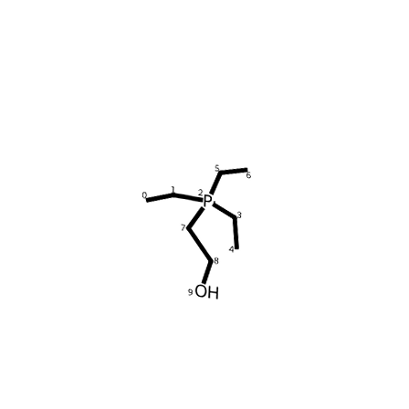 CC[P](CC)(CC)CCO